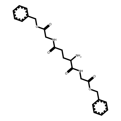 NC(CCC(=O)NCC(=O)OCc1ccccc1)C(=O)NCC(=O)OCc1ccccc1